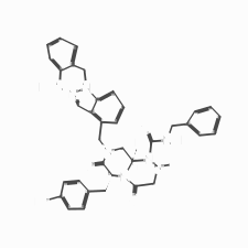 CN1CC(=O)N2[C@@H](Cc3ccc(O)cc3)C(=O)N(Cc3cccc4c3cnn4Cc3ccccc3N)C[C@@H]2N1C(=O)NCc1ccccc1